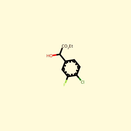 CCOC(=O)C(O)c1ccc(Cl)c(F)c1